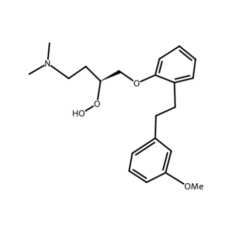 COc1cccc(CCc2ccccc2OC[C@H](CCN(C)C)OO)c1